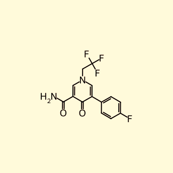 NC(=O)c1cn(CC(F)(F)F)cc(-c2ccc(F)cc2)c1=O